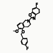 COc1ccc2c(c1OCc1ccc(F)cc1)CCN(c1nc3ccc(F)cc3o1)C2